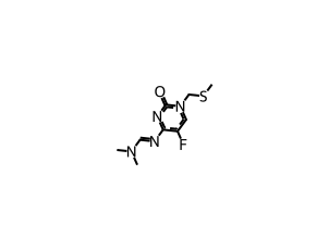 CSCn1cc(F)c(N=CN(C)C)nc1=O